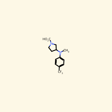 CN(c1ccc(C(F)(F)F)cc1)C1CCN(C(=O)O)C1